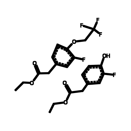 CCOC(=O)Cc1ccc(O)c(F)c1.CCOC(=O)Cc1ccc(OCC(F)(F)F)c(F)c1